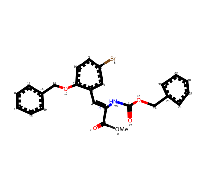 COC(=O)/C(=C/c1cc(Br)ccc1OCc1ccccc1)NC(=O)OCc1ccccc1